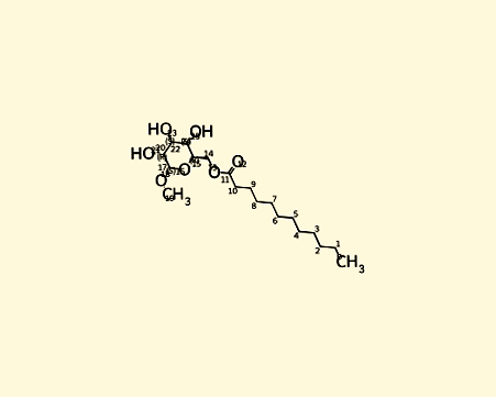 CCCCCCCCCCCC(=O)OC[C@H]1O[C@H](OC)[C@H](O)[C@@H](O)[C@@H]1O